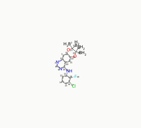 BC1(B)Oc2cc3ncnc(Nc4cccc(Cl)c4F)c3cc2OC1(B)B